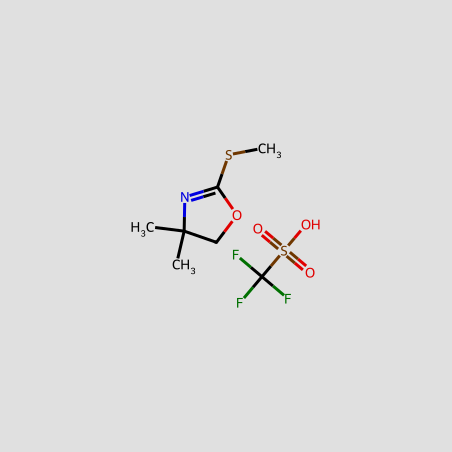 CSC1=NC(C)(C)CO1.O=S(=O)(O)C(F)(F)F